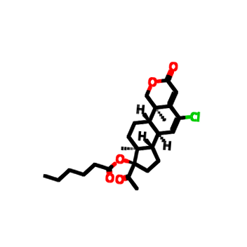 CCCCCC(=O)O[C@]1(C(C)=O)CC[C@H]2[C@@H]3C=C(Cl)C4=CC(=O)OC[C@]4(C)[C@H]3CC[C@@]21C